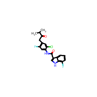 CC(C)C(=O)Cc1cc(Cl)c(NC(=O)c2c[nH]c3c(F)cccc23)cc1F